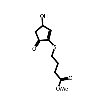 COC(=O)CCCSC1=CC(O)CC1=O